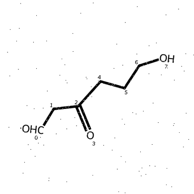 O=[C]CC(=O)CCCO